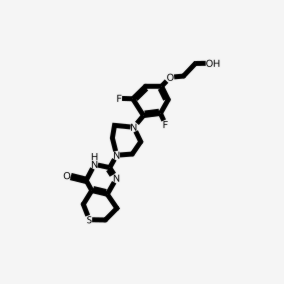 O=c1[nH]c(N2CCN(c3c(F)cc(OCCO)cc3F)CC2)nc2c1CSCC2